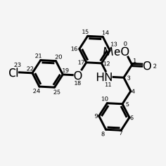 COC(=O)C(Cc1ccccc1)Nc1ccccc1Oc1ccc(Cl)cc1